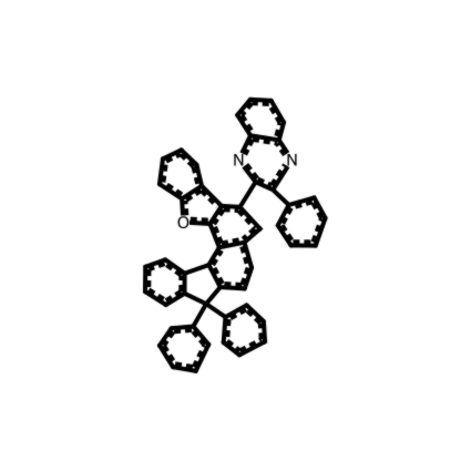 c1ccc(-c2nc3ccccc3nc2-c2cc3ccc4c(c3c3oc5ccccc5c23)-c2ccccc2C4(c2ccccc2)c2ccccc2)cc1